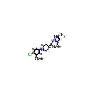 CNC(Cn1nc(C(F)(F)F)cc1C)C1CCN(c2ccc(Cl)c(OC)c2)CC1